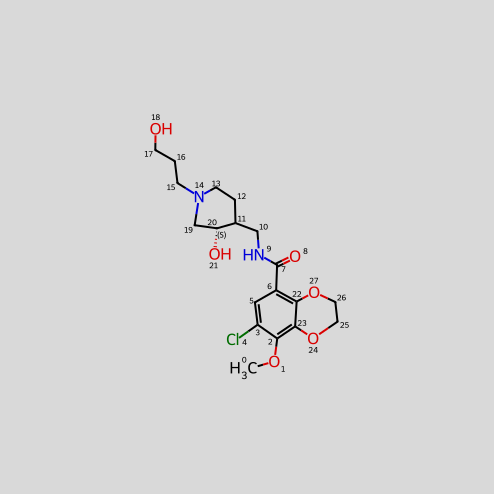 COc1c(Cl)cc(C(=O)NCC2CCN(CCCO)C[C@H]2O)c2c1OCCO2